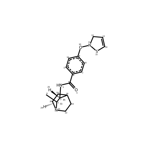 C[C@H]1[C@H](NC(=O)c2ccc(ON3CC=CS3)cc2)C2CCN1CC2